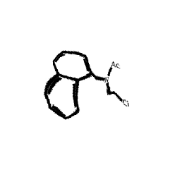 CC(=O)N(CCl)c1cccc2ccccc12